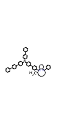 C=C1CCCCC/C(c2ccccc2)=C2/CCCC/C2=C/1c1ccc(-c2ccc(N(c3ccc(-c4ccccc4)cc3)c3ccc(-c4ccc(-c5ccccc5)cc4)cc3)cc2)cc1